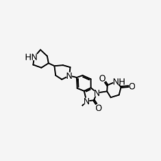 Cn1c(=O)n(C2CCC(=O)NC2=O)c2ccc(N3CCC(C4CCNCC4)CC3)cc21